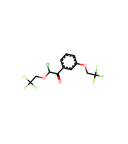 O=C(c1cccc(OCC(F)(F)F)c1)C(Cl)OCC(F)(F)F